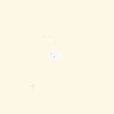 O=C(C=Cc1ccco1)Nc1ccccc1C(=O)O